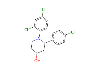 OC1CCN(c2ccc(Cl)cc2Cl)C(c2ccc(Cl)cc2)C1